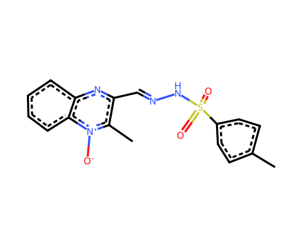 Cc1ccc(S(=O)(=O)N/N=C/c2nc3ccccc3[n+]([O-])c2C)cc1